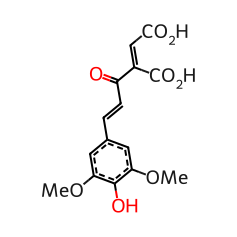 COc1cc(C=CC(=O)/C(=C/C(=O)O)C(=O)O)cc(OC)c1O